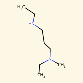 CCNCCCN(C)CC